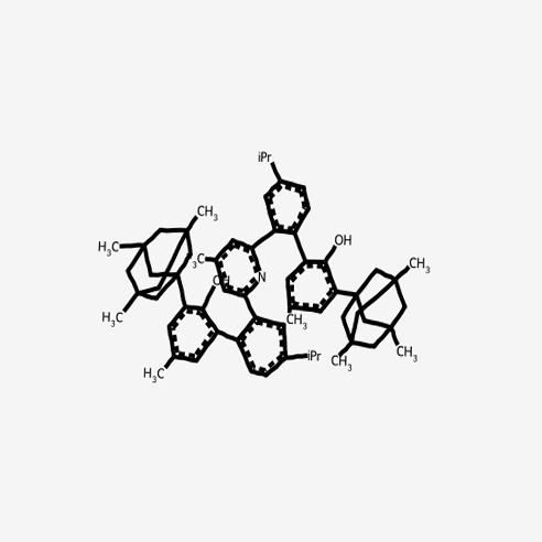 Cc1cc(-c2ccc(C(C)C)cc2-c2cc(C(F)(F)F)cc(-c3cc(C(C)C)ccc3-c3cc(C)cc(C45CC6(C)CC(C)(CC(C)(C6)C4)C5)c3O)n2)c(O)c(C23CC4(C)CC(C)(CC(C)(C4)C2)C3)c1